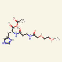 O=C(COCCO[N+](=O)[O-])NCCC(=O)N[C@@H](Cc1c[nH]cn1)C(=O)OC(=O)C(F)(F)F